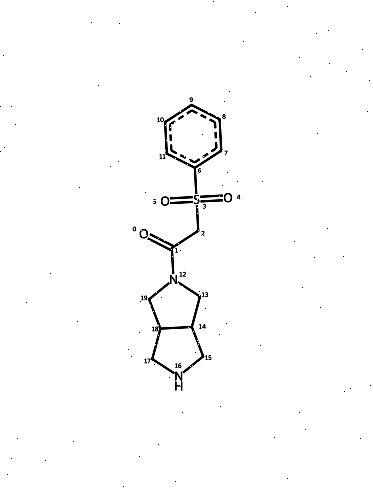 O=C(CS(=O)(=O)c1ccccc1)N1CC2CNCC2C1